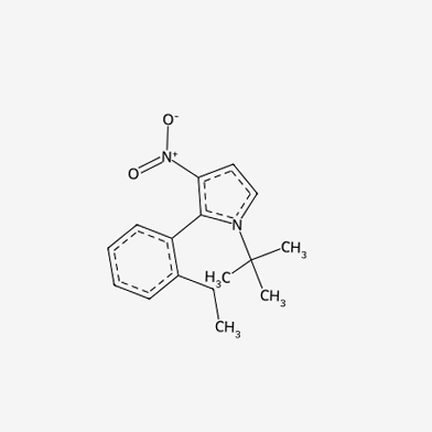 CCc1ccccc1-c1c([N+](=O)[O-])ccn1C(C)(C)C